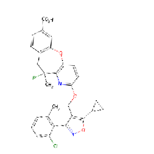 Cc1cccc(Cl)c1-c1noc(C2CC2)c1COc1ccc2c(n1)C(C)(F)Cc1ccc(C(=O)O)cc1O2